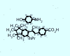 CCCc1cc2c(cc1C(C)=Cc1ccc(C(=O)O)cc1)C(C)(C)C(C)C2(C)C.Nc1ccc(O)cc1